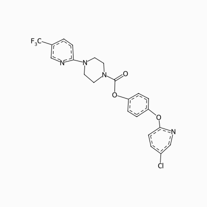 O=C(Oc1ccc(Oc2ccc(Cl)cn2)cc1)N1CCN(c2ccc(C(F)(F)F)cn2)CC1